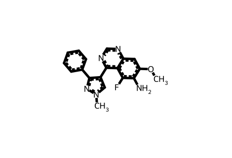 COc1cc2ncnc(-c3cn(C)nc3-c3ccccc3)c2c(F)c1N